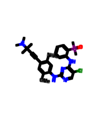 COc1cc(C#CC(C)(C)N(C)C)c(NC(C)=O)cc1Nc1ncc(Cl)c(Nc2ccccc2P(C)(C)=O)n1